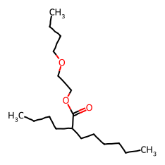 CCCCCCC(CCCC)C(=O)OCCOCCCC